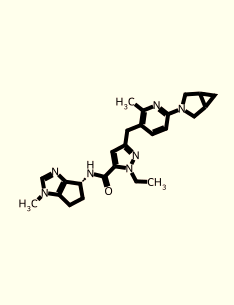 CCn1nc(Cc2ccc(N3CC4CC4C3)nc2C)cc1C(=O)N[C@@H]1CCc2c1ncn2C